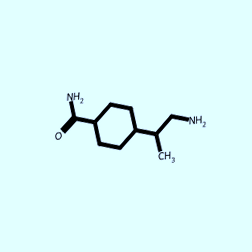 CC(CN)C1CCC(C(N)=O)CC1